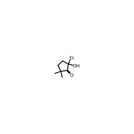 CCC1(O)CCC(C)(C)C1=O